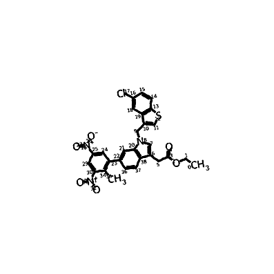 CCOC(=O)Cc1cn(Cc2csc3ccc(Cl)cc23)c2cc(-c3cc([N+](=O)[O-])cc([N+](=O)[O-])c3C)ccc12